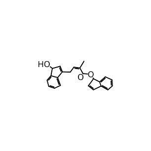 C/C(=C/CC1=CC(O)c2ccccc21)C(=O)OC1C=Cc2ccccc21